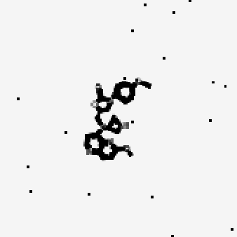 COc1ccc(N2C[C@@H](CN(c3ccnc4ccc(OC)nc34)C3CNC3)OC2=O)cc1